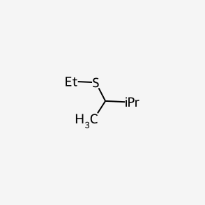 CCSC(C)C(C)C